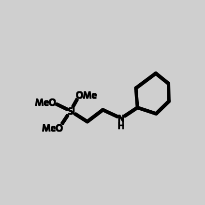 CO[Si](CCNC1CCCCC1)(OC)OC